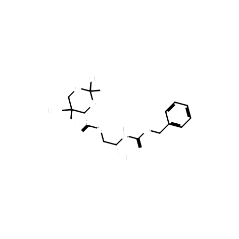 C[C@H](CNC(=O)[C@H]1OC(C)(C)OCC1(C)C)NC(=O)OCc1ccccc1